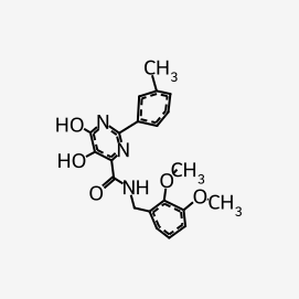 COc1cccc(CNC(=O)c2nc(-c3cccc(C)c3)nc(O)c2O)c1OC